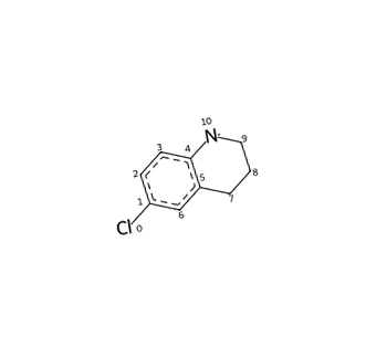 Clc1ccc2c(c1)CCC[N]2